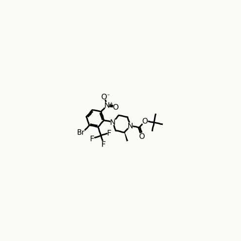 C[C@H]1CN(c2c([N+](=O)[O-])ccc(Br)c2C(F)(F)F)CCN1C(=O)OC(C)(C)C